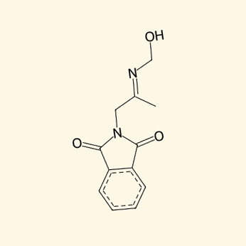 C/C(CN1C(=O)c2ccccc2C1=O)=N\CO